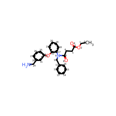 CCOC(=O)CCC(=O)N(Cc1ccccc1)c1ccccc1Oc1cccc(CN)c1